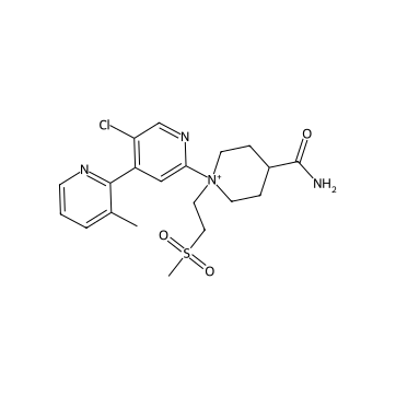 Cc1cccnc1-c1cc([N+]2(CCS(C)(=O)=O)CCC(C(N)=O)CC2)ncc1Cl